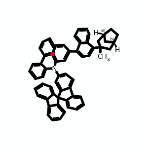 CC1(c2ccc(-c3cccc(N(c4ccc5c(c4)C4(c6ccccc6-c6ccccc64)c4ccccc4-5)c4ccccc4-c4ccccc4)c3)c3ccccc23)C[C@@H]2CC[C@@H](C2)C1